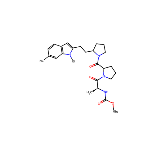 CCn1c(CCC2CCCN2C(=O)C2CCCN2C(=O)[C@H](C)NC(=O)OC(C)(C)C)cc2ccc(C#N)cc21